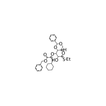 CCS[C@@H]1O[C@H]2COC(c3ccccc3)OC2C(O[C@@H](CC2CCCCC2)C(=O)OCc2ccccc2)C1O